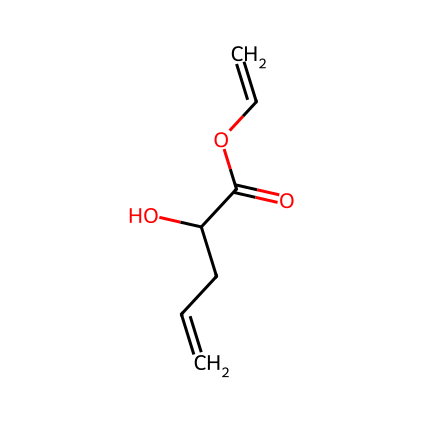 C=CCC(O)C(=O)OC=C